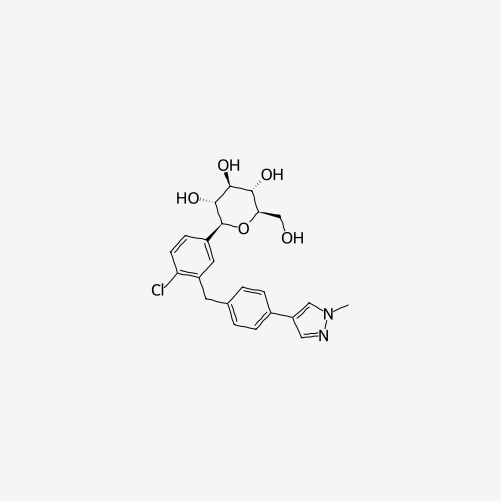 Cn1cc(-c2ccc(Cc3cc([C@@H]4O[C@H](CO)[C@@H](O)[C@H](O)[C@H]4O)ccc3Cl)cc2)cn1